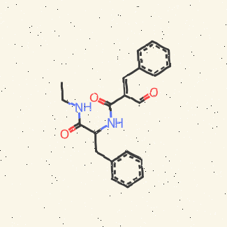 CCNC(=O)C(Cc1ccccc1)NC(=O)C([C]=O)=Cc1ccccc1